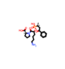 C[C@@H](CC(=O)c1ccccc1)P(=O)(O)OC(CCCCN)C(=O)N1CCC[C@H]1C(=O)O